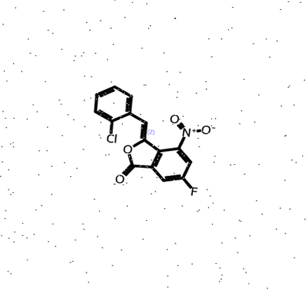 O=C1O/C(=C\c2ccccc2Cl)c2c1cc(F)cc2[N+](=O)[O-]